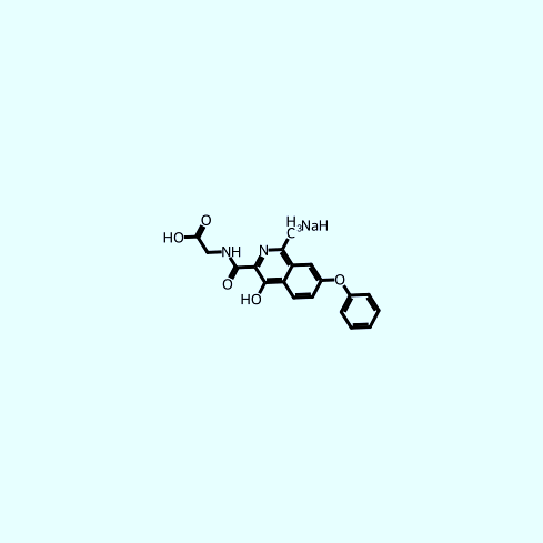 Cc1nc(C(=O)NCC(=O)O)c(O)c2ccc(Oc3ccccc3)cc12.[NaH]